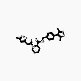 Cc1cc(CC(=O)N2CCCCC2C(=O)NCc2ccc(-c3c(C)noc3C)cc2)on1